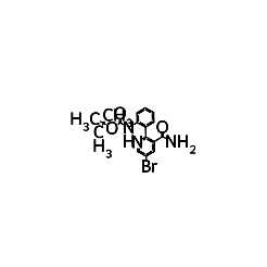 CC(C)(C)OC(=O)Nc1ccccc1-c1ncc(Br)cc1C(N)=O